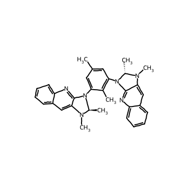 Cc1cc(N2c3nc4ccccc4cc3N(C)[C@H]2C)c(C)c(N2c3nc4ccccc4cc3N(C)[C@@H]2C)c1